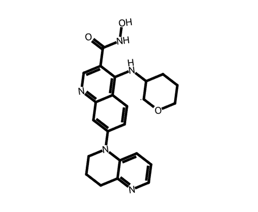 O=C(NO)c1cnc2cc(N3CCCc4ncccc43)ccc2c1NC1[CH]OCCC1